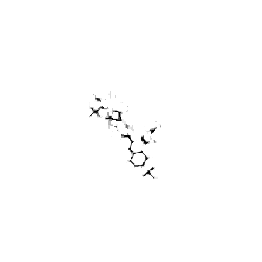 CC(C)(C)[C@H]1CCC(CCC(=O)N[C@@H]2C(=O)N3[C@@H]2SC(C)(C)[C@@H]3C(=O)O)[C@H](c2csc(N)n2)C1